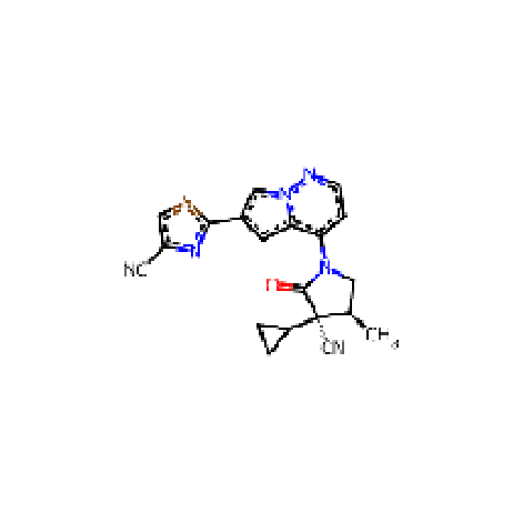 C[C@@H]1CN(c2ccnn3cc(-c4nc(C#N)cs4)cc23)C(=O)[C@]1(C#N)C1CC1